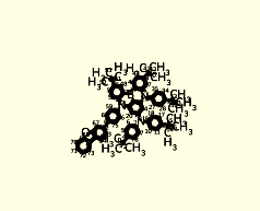 CC(C)(C)c1ccc(N(c2ccc(C(C)(C)C)cc2)c2cc3c4c(c2)N(c2ccc(C(C)(C)C)cc2)c2cc(C(C)(C)C)ccc2B4c2cc(C(C)(C)C)ccc2N3c2ccc(-c3ccc4c(c3)oc3ccccc34)cc2)cc1